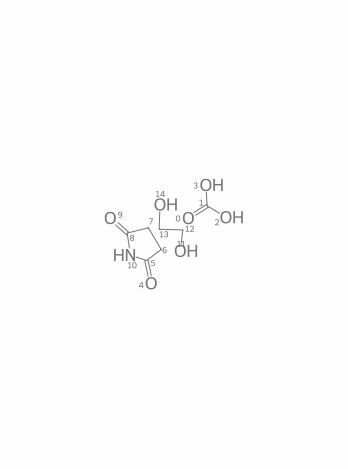 O=C(O)O.O=C1CCC(=O)N1.OCCO